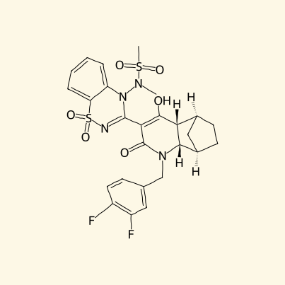 CN(N1C(C2=C(O)[C@@H]3[C@H]4CC[C@H](C4)[C@@H]3N(Cc3ccc(F)c(F)c3)C2=O)=NS(=O)(=O)c2ccccc21)S(C)(=O)=O